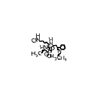 C=C/C=C(/NC(=O)/C(=C\CCCNCl)NC(=O)Cc1cn(CC=C)c2ccccc12)C(=O)OC